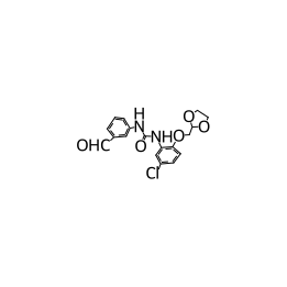 O=Cc1cccc(NC(=O)Nc2cc(Cl)ccc2OCC2OCCO2)c1